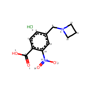 Cl.O=C(O)c1ccc(CN2CCC2)cc1[N+](=O)[O-]